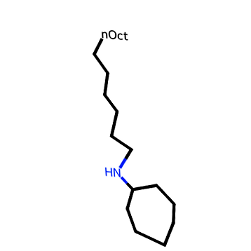 CCCCCCCCCCCCCCNC1CCCCCC1